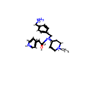 CN1CCC(N(Cc2ccc(CN)cc2)C(=O)Cc2ccncc2)CC1